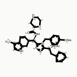 COc1ccc(Cn2c([C@@H](Cc3ccccc3)NC(C)=O)nnc2[C@H](NC(=O)[C@@H]2CNCCO2)C2C=Cc3c(C)c[nH]c3C2)cc1